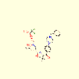 CCCC[C@H](CN(O)C=O)C(=O)N[C@H](C(=O)c1ccc(N2CCN(Cc3ccccc3)CC2)cc1)C(C)(C)C.O=C(O)C(F)(F)F